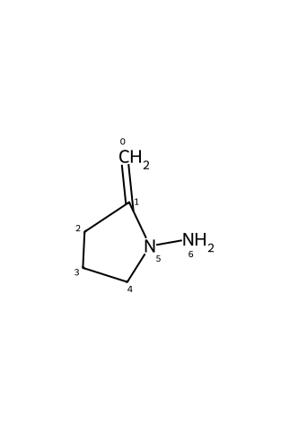 C=C1CCCN1N